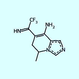 CC1CC(C(=N)C(F)(F)F)=C(N)c2cncn21